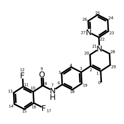 CC1=C(c2ccc(NC(=O)c3c(F)cccc3F)cc2)CN(c2ccccn2)CC1